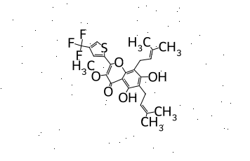 COc1c(-c2cc(C(F)(F)F)cs2)oc2c(CC=C(C)C)c(O)c(CC=C(C)C)c(O)c2c1=O